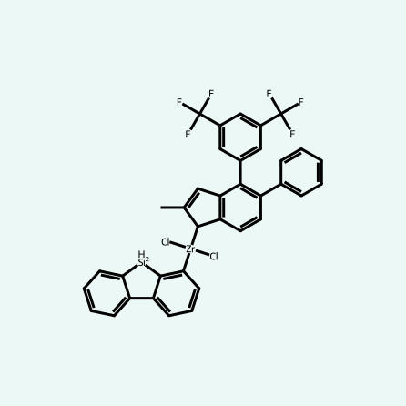 CC1=Cc2c(ccc(-c3ccccc3)c2-c2cc(C(F)(F)F)cc(C(F)(F)F)c2)[CH]1[Zr]([Cl])([Cl])[c]1cccc2c1[SiH2]c1ccccc1-2